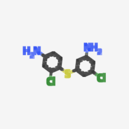 Nc1cc(Cl)cc(Sc2ccc(N)cc2Cl)c1